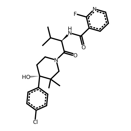 CC(C)[C@@H](NC(=O)c1cccnc1F)C(=O)N1CC[C@](O)(c2ccc(Cl)cc2)C(C)(C)C1